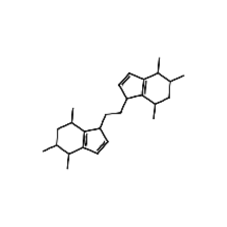 CC1CC(C)C(C)C2=C1C(CCC1C=CC3=C1C(C)CC(C)C3C)C=C2